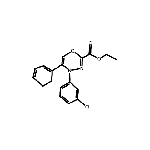 CCOC(=O)C1=NN(c2cccc(Cl)c2)C(C2=CC=CCC2)=CO1